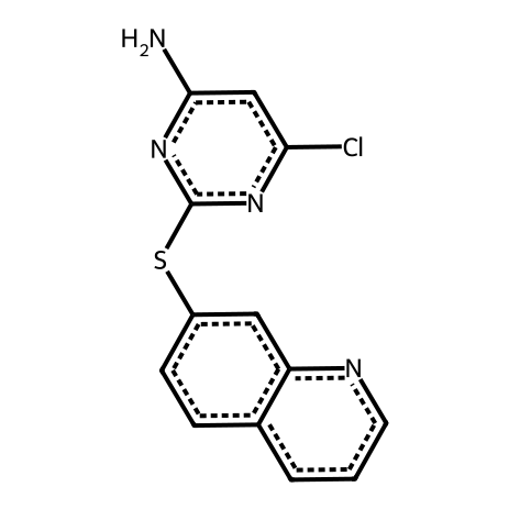 Nc1cc(Cl)nc(Sc2ccc3cccnc3c2)n1